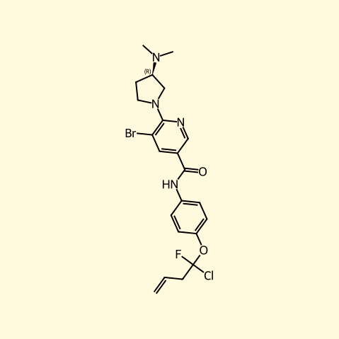 C=CCC(F)(Cl)Oc1ccc(NC(=O)c2cnc(N3CC[C@@H](N(C)C)C3)c(Br)c2)cc1